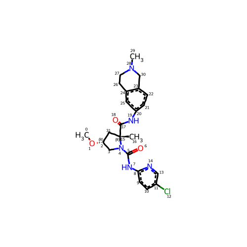 CO[C@H]1CN(C(=O)Nc2ccc(Cl)cn2)[C@@](C)(C(=O)Nc2ccc3c(c2)CCN(C)C3)C1